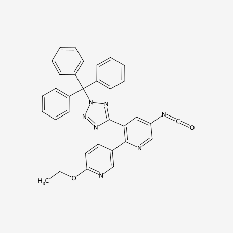 CCOc1ccc(-c2ncc(N=C=O)cc2-c2nnn(C(c3ccccc3)(c3ccccc3)c3ccccc3)n2)cn1